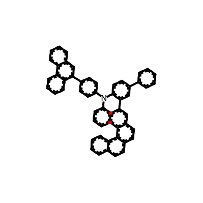 c1ccc(-c2ccc(N(c3ccccc3)c3ccc(-c4cc5ccccc5c5ccccc45)cc3)c(-c3ccc4c(ccc5ccc6ccccc6c54)c3)c2)cc1